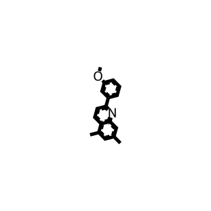 COc1cccc(-c2ccc3c(C)cc(C)cc3n2)c1